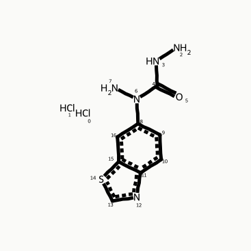 Cl.Cl.NNC(=O)N(N)c1ccc2ncsc2c1